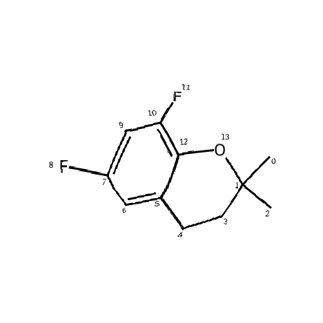 CC1(C)CCc2cc(F)cc(F)c2O1